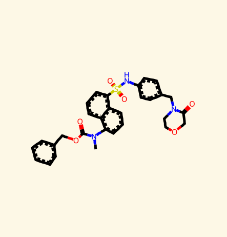 CN(C(=O)OCc1ccccc1)c1cccc2c(S(=O)(=O)Nc3ccc(CN4CCOCC4=O)cc3)cccc12